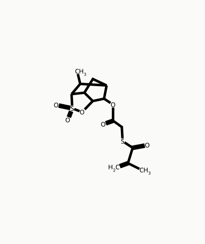 C=C(C)C(=O)SCC(=O)OC1C2CC3C1OS(=O)(=O)C3C2C